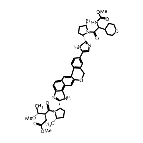 CC[C@H]1CC[C@@H](c2ncc(-c3ccc4c(c3)COc3cc5c(ccc6nc([C@@H]7CC[C@H](C)N7C(=O)[C@@H](CC(=O)OC)[C@@H](C)OC)[nH]c65)cc3-4)[nH]2)N1C(=O)C(NC(=O)OC)C1CCOCC1